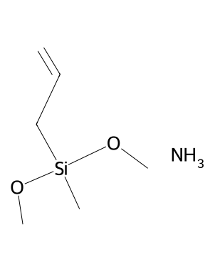 C=CC[Si](C)(OC)OC.N